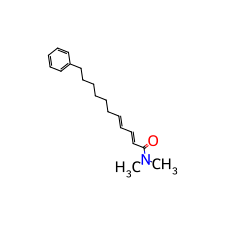 CN(C)C(=O)/C=C/C=C/CCCCCCc1ccccc1